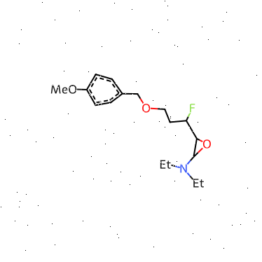 CCN(CC)C1OC1C(F)CCOCc1ccc(OC)cc1